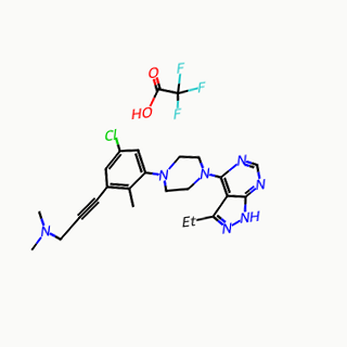 CCc1n[nH]c2ncnc(N3CCN(c4cc(Cl)cc(C#CCN(C)C)c4C)CC3)c12.O=C(O)C(F)(F)F